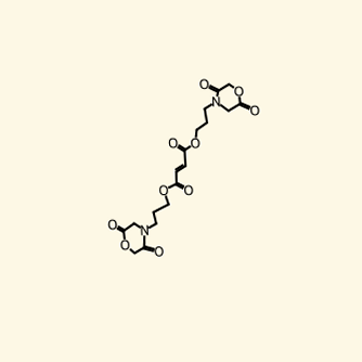 O=C(/C=C/C(=O)OCCCN1CC(=O)OCC1=O)OCCCN1CC(=O)OCC1=O